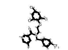 O=C(c1cncc(F)c1)N(CCOc1c(Cl)cc(Cl)cc1Cl)Cc1ccc(C(F)(F)F)cc1